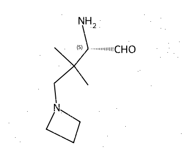 CC(C)(CN1CCC1)[C@H](N)C=O